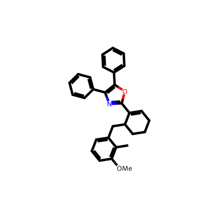 COc1cccc(CC2CCCC=C2c2nc(-c3ccccc3)c(-c3ccccc3)o2)c1C